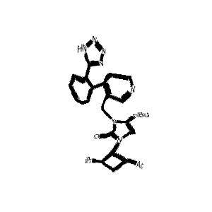 CCCCc1cn(C2C(C(C)=O)CC2C(C)C)c(=O)n1Cc1cnccc1-c1ccccc1-c1nnn[nH]1